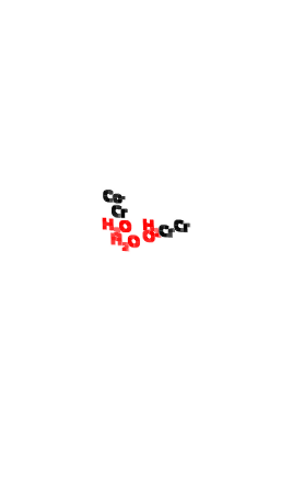 O.O.O.[Co].[Cr].[Cr].[Cr]